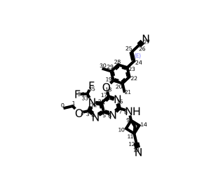 CCOc1nc2nc(NC34CC(C#N)(C3)C4)nc(Oc3c(C)cc(/C=C/C#N)cc3C)c2n1C(F)F